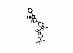 CC(=O)NC1CCN(C(=O)c2n[nH]c3ccc(-c4cnc5[nH]c(-c6ccccc6)cc5c4)cc23)CC1